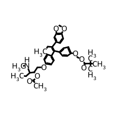 CCC(=C(c1ccc(OCOC(=O)C(C)(C)C)cc1)c1ccc(OCC(OC(C)=O)C(CC)NC)cc1)c1ccc2c(c1)OCO2